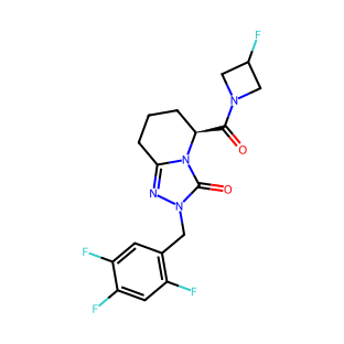 O=C([C@@H]1CCCc2nn(Cc3cc(F)c(F)cc3F)c(=O)n21)N1CC(F)C1